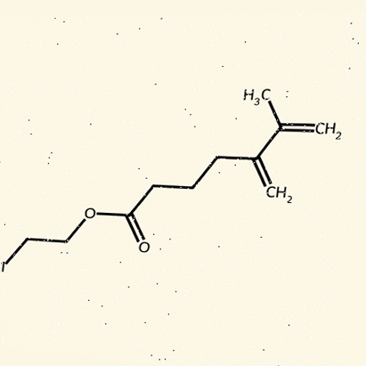 C=C(C)C(=C)CCCC(=O)OCCCl